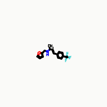 CC(C=Cc1ccc(C(F)(F)F)cc1)NCc1ccco1